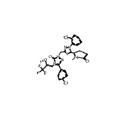 CN1C(=O)CCC1c1nc(Cn2nc(-c3ccc(Cl)cc3)n(CC(O)C(F)(F)F)c2=O)nn1-c1ccccc1Cl